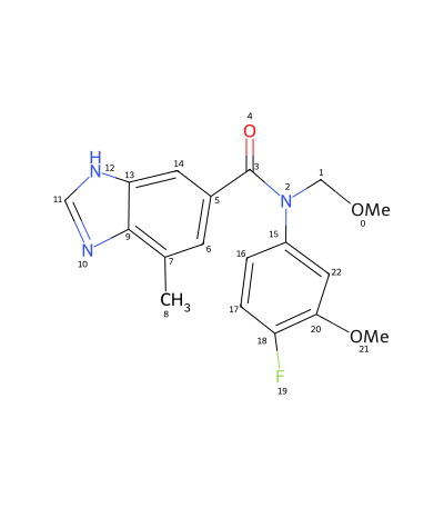 COCN(C(=O)c1cc(C)c2nc[nH]c2c1)c1ccc(F)c(OC)c1